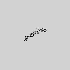 COc1cccc(-c2ccc3nc(NC(=O)NCCS(=O)(=O)c4ccccc4)cn3n2)c1